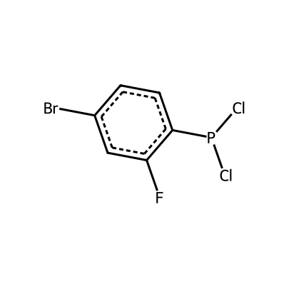 Fc1cc(Br)ccc1P(Cl)Cl